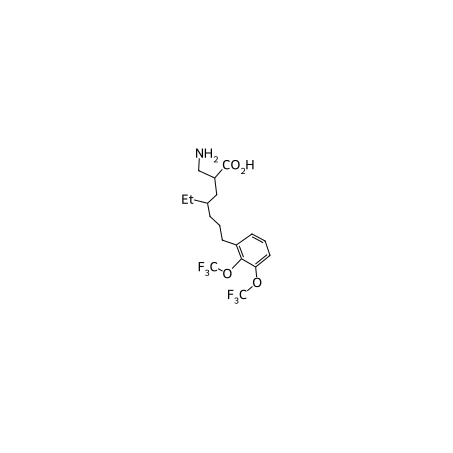 CCC(CCCc1cccc(OC(F)(F)F)c1OC(F)(F)F)CC(CN)C(=O)O